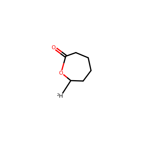 [2H]C1CCCCC(=O)O1